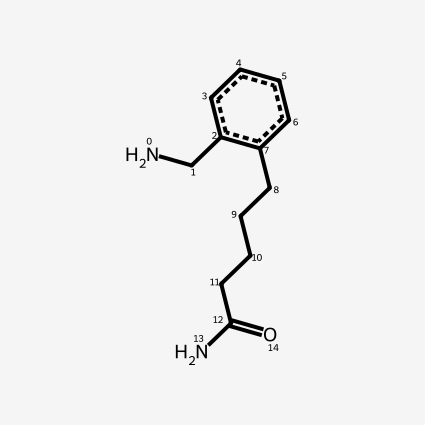 NCc1ccccc1CCCCC(N)=O